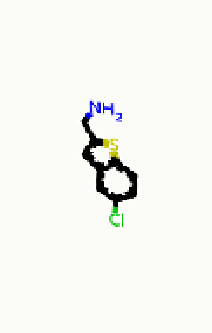 NCc1cc2cc(Cl)ccc2s1